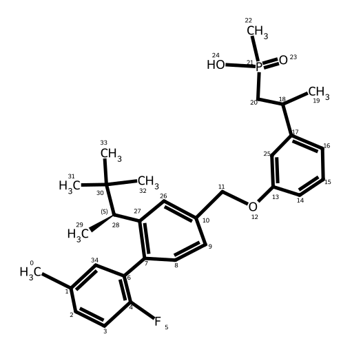 Cc1ccc(F)c(-c2ccc(COc3cccc(C(C)CP(C)(=O)O)c3)cc2[C@@H](C)C(C)(C)C)c1